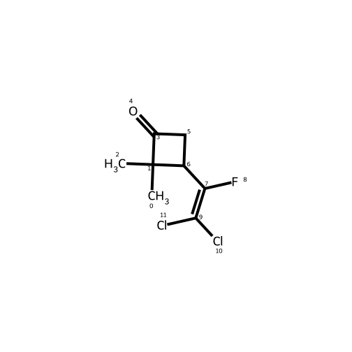 CC1(C)C(=O)CC1C(F)=C(Cl)Cl